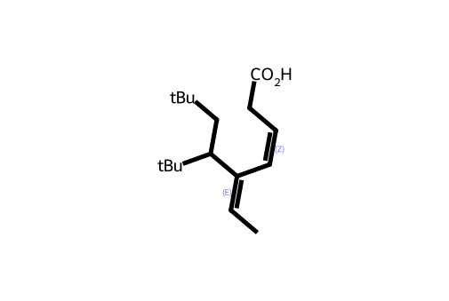 C/C=C(\C=C/CC(=O)O)C(CC(C)(C)C)C(C)(C)C